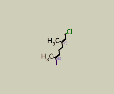 C/C(I)=C\CC/C(C)=C/CCl